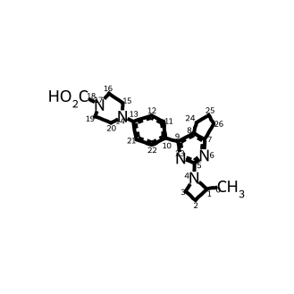 CC1CCN1c1nc2c(c(-c3ccc(N4CCN(C(=O)O)CC4)cc3)n1)CCC2